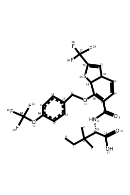 CCC(C)(C)[C@H](NC(=O)C1=C(OCc2ccc(OC(F)(F)F)cc2)C2SC(C(F)(F)F)=CC2C=C1)C(=O)O